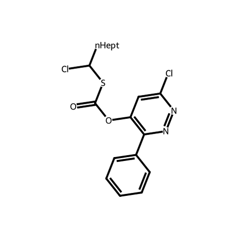 CCCCCCCC(Cl)SC(=O)Oc1cc(Cl)nnc1-c1ccccc1